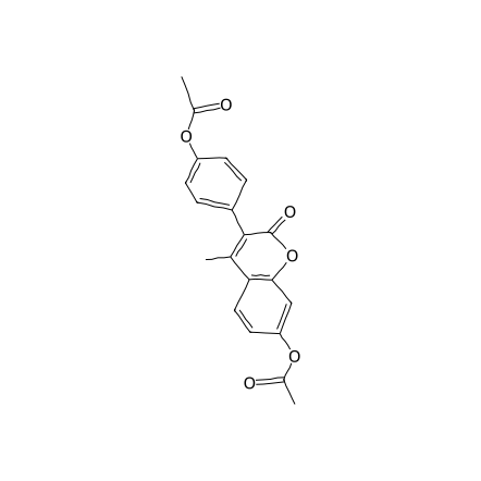 CC(=O)Oc1ccc(-c2c(C)c3ccc(OC(C)=O)cc3oc2=O)cc1